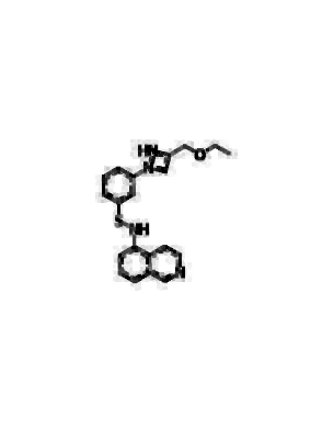 CCOCc1cn(-c2cccc(SNc3cccc4cnccc34)c2)[nH]1